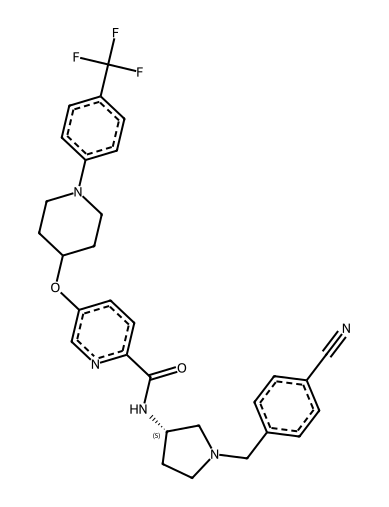 N#Cc1ccc(CN2CC[C@H](NC(=O)c3ccc(OC4CCN(c5ccc(C(F)(F)F)cc5)CC4)cn3)C2)cc1